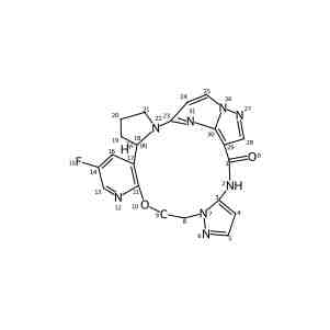 O=C1Nc2ccnn2CCOc2ncc(F)cc2[C@H]2CCCN2c2ccn3ncc1c3n2